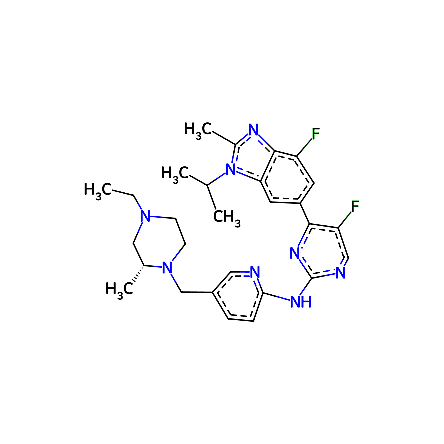 CCN1CCN(Cc2ccc(Nc3ncc(F)c(-c4cc(F)c5nc(C)n(C(C)C)c5c4)n3)nc2)[C@H](C)C1